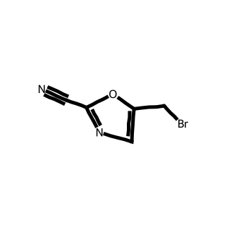 N#Cc1ncc(CBr)o1